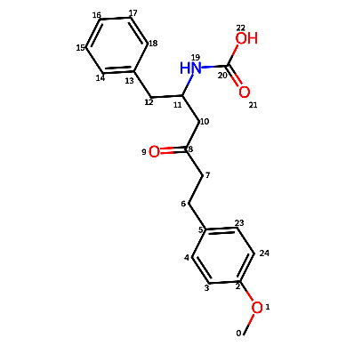 COc1ccc(CCC(=O)CC(Cc2ccccc2)NC(=O)O)cc1